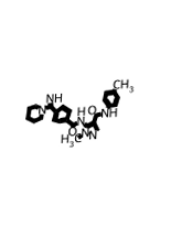 Cc1ccc(NC(=O)c2cnn(C)c2NC(=O)c2ccc(C(=N)N3CCCCC3)cc2)cc1